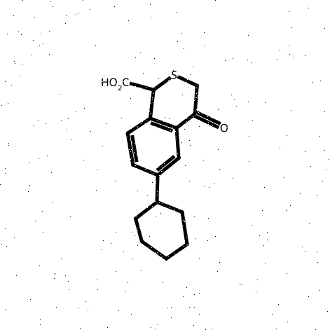 O=C1CSC(C(=O)O)c2ccc(C3CCCCC3)cc21